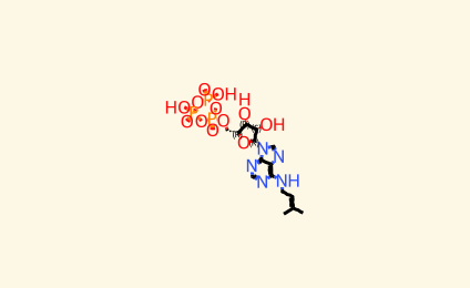 CC(C)=CCNc1ncnc2c1ncn2[C@@H]1O[C@H](COP2(=O)OP(=O)(O)OP(=O)(O)O2)[C@H](O)[C@@H]1O